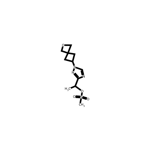 CC(OS(C)(=O)=O)c1ncn(C2CC3(COC3)C2)n1